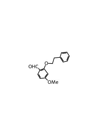 COc1ccc(C=O)c(OCCc2ccccc2)c1